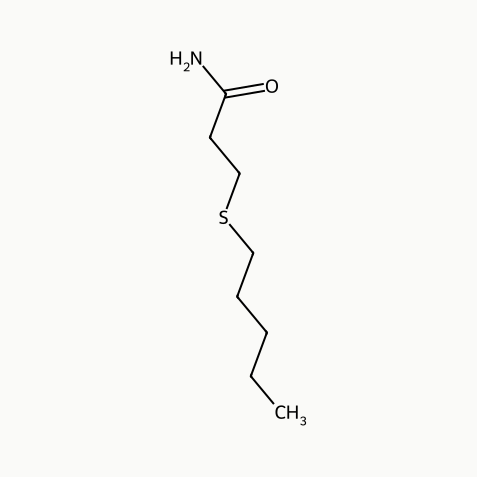 CCCCCSCCC(N)=O